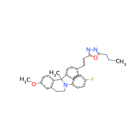 CCCc1nnc(C=Cc2ccc(C3(C)c4ccc(OC)cc4CCN3c3ccc(F)cc3)cc2)o1